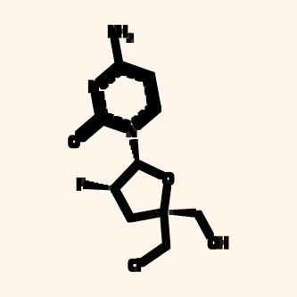 Nc1ccn([C@@H]2O[C@@](CO)(CCl)C[C@@H]2F)c(=O)n1